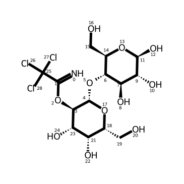 N=C(O[C@H]1[C@H](O[C@H]2[C@H](O)[C@@H](O)[C@H](O)O[C@@H]2CO)O[C@H](CO)[C@H](O)[C@@H]1O)C(Cl)(Cl)Cl